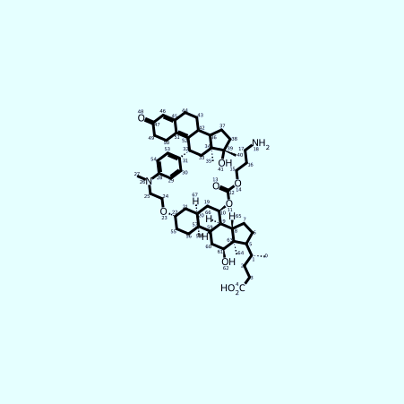 C[C@H](CCC(=O)O)C1CC[C@H]2[C@@H]3[C@H](OC(=O)OCCCN)C[C@@H]4C[C@@H](OCCN(C)c5ccc([C@H]6C[C@@]7(C)C(CC[C@]7(C)O)C7CCC8=CC(=O)CCC8=C76)cc5)CC[C@]4(C)[C@H]3C[C@H](O)[C@]12C